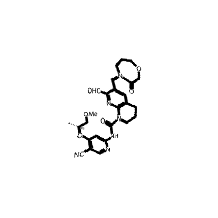 COC[C@@H](C)Oc1cc(NC(=O)N2CCCc3cc(CN4CCCOCC4=O)c(C=O)nc32)ncc1C#N